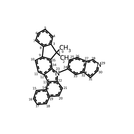 CC1(C)c2ccccc2-c2ccc3c4c5ccccc5ccc4n(-c4ccc5cnccc5c4)c3c21